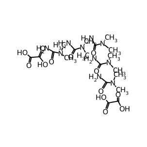 CN(C)C(N)=O.CN(C)C(N)=O.CN(C)C(N)=O.CN(C)C(N)=O.CN(C)C(N)=O.O=C(O)C(=O)O.O=C(O)C(=O)O